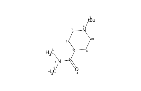 CN(C)C(=O)C1CCN(C(C)(C)C)CC1